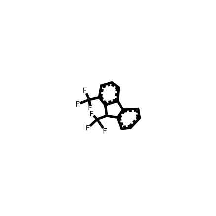 FC(F)(F)c1cccc2c1C(C(F)(F)F)c1ccccc1-2